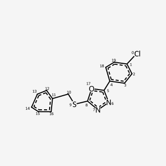 Clc1ccc(-c2nnc(SCc3ccccc3)o2)cc1